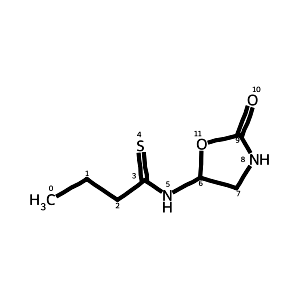 CCCC(=S)NC1CNC(=O)O1